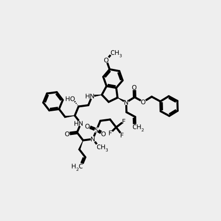 C=CC[C@@H](C(=O)N[C@@H](Cc1ccccc1)[C@H](O)CN[C@@H]1C[C@H](N(CC=C)C(=O)OCc2ccccc2)c2ccc(OC)cc21)N(C)S(=O)(=O)CCC(F)(F)F